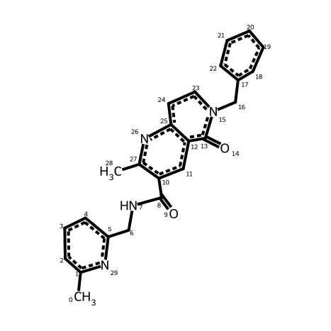 Cc1cccc(CNC(=O)c2cc3c(=O)n(Cc4ccccc4)ccc3nc2C)n1